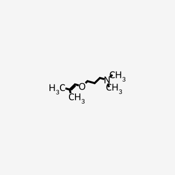 CC(C)=COCCCN(C)C